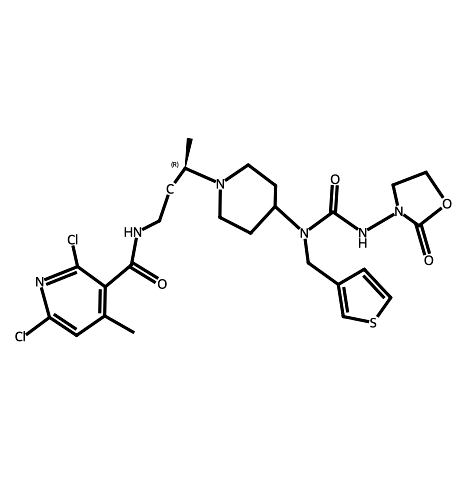 Cc1cc(Cl)nc(Cl)c1C(=O)NCC[C@@H](C)N1CCC(N(Cc2ccsc2)C(=O)NN2CCOC2=O)CC1